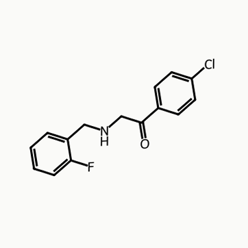 O=C(CNCc1ccccc1F)c1ccc(Cl)cc1